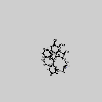 O=C1c2c(O)c(=O)ccn2N2CN1C/C=C/COc1cccc3c1[C@@H]2c1ccccc1SC3